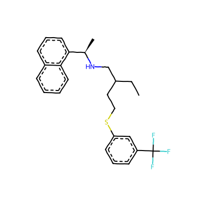 CCC(CCSc1cccc(C(F)(F)F)c1)CN[C@H](C)c1cccc2ccccc12